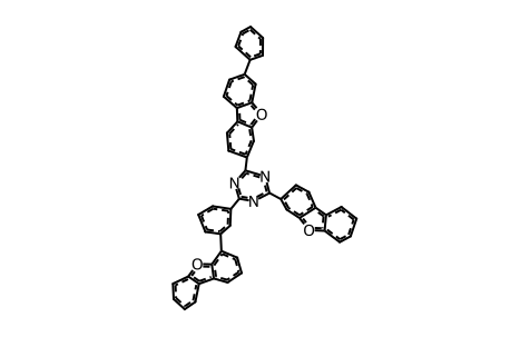 c1ccc(-c2ccc3c(c2)oc2cc(-c4nc(-c5cccc(-c6cccc7c6oc6ccccc67)c5)nc(-c5ccc6c(c5)oc5ccccc56)n4)ccc23)cc1